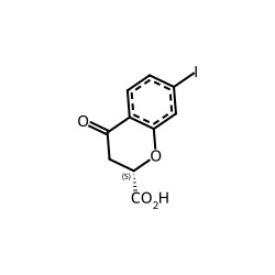 O=C1C[C@@H](C(=O)O)Oc2cc(I)ccc21